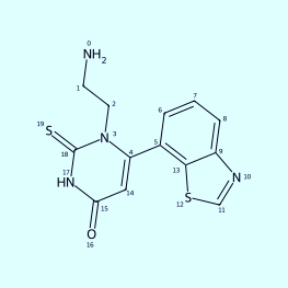 NCCn1c(-c2cccc3ncsc23)cc(=O)[nH]c1=S